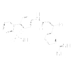 CC(C)/C(=C/C(=O)Nc1ccc(-c2ccccc2S(N)(=O)=O)cc1)c1cccc(C(=N)N)c1